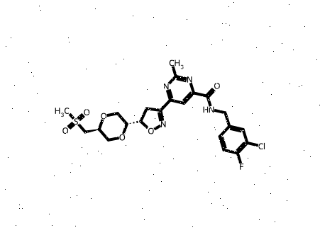 Cc1nc(C(=O)NCc2ccc(F)c(Cl)c2)cc(C2=NOC([C@H]3CO[C@H](CS(C)(=O)=O)CO3)C2)n1